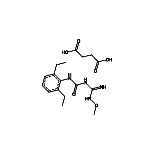 CCc1cccc(CC)c1NC(=O)NC(=N)NOC.O=C(O)CCC(=O)O